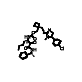 CCCC[C@H](NC(=O)OCC1(CSC2=NCC(c3ccc(Cl)cc3)N2C)CCC1)C(=O)C(=O)N[C@H](C)c1ccccc1